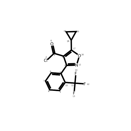 O=C(Cl)c1c(-c2ccccc2C(F)(F)F)noc1C1CC1